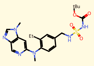 CCc1cc(CNS(=O)(=O)NC(=O)OC(C)(C)C)ccc1N(C)c1cc2c(cn1)ncn2C